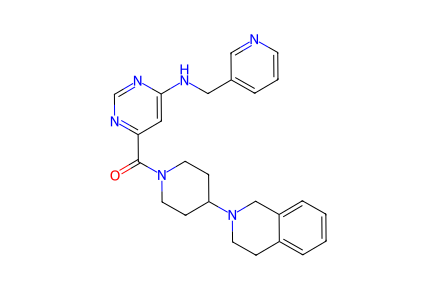 O=C(c1cc(NCc2cccnc2)ncn1)N1CCC(N2CCc3ccccc3C2)CC1